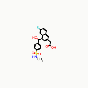 CNS(=O)(=O)c1ccc(C(O)c2cc(CC(=O)O)cc3ccc(F)cc23)cc1